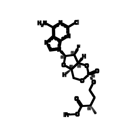 CC(C)OC(=O)[C@@H](C)CCO[P@]1(=O)OC[C@H]2O[C@@H](n3cnc4c(N)nc(Cl)nc43)[C@@H](F)[C@@H]2O1